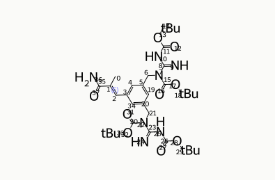 C/C(=C\c1cc(CN(C(=N)NC(=O)OC(C)(C)C)C(=O)OC(C)(C)C)cc(CN(C(=N)NC(=O)OC(C)(C)C)C(=O)OC(C)(C)C)c1)C(N)=O